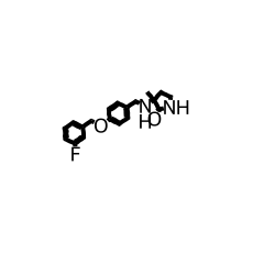 CC1(NCc2ccc(OCc3cccc(F)c3)cc2)CCNC1=O